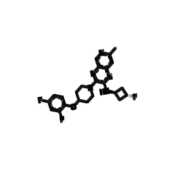 Cc1cc2nc(N[C@H]3C[C@H](F)C3)c(N3CCC(Oc4ccc(F)cc4F)CC3)nc2cn1